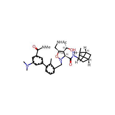 CNC(=O)c1cc(-c2cccc(CN3O[C@@H](CNC(C)=O)[C@@H]([C@H](C)O)[C@H]3C(=O)N[C@H]3C[C@H]4C[C@@H]([C@@H]3C)C4(C)C)c2C)cc(N(C)C)c1